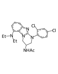 CCN(CC)c1cccc2nc3n(c12)CC(NC(C)=O)CN3c1ccc(Cl)cc1Cl